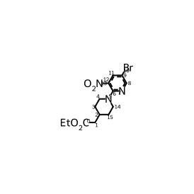 CCOC(=O)CC1CCN(c2ncc(Br)cc2[N+](=O)[O-])CC1